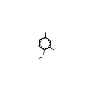 CCCOc1ccc(F)cc1F